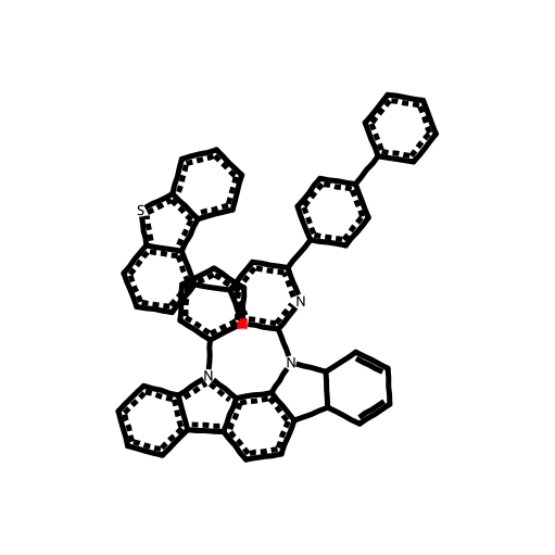 C1=CC2c3ccc4c5ccccc5n(-c5ccccc5)c4c3N(c3nc(-c4ccc(-c5ccccc5)cc4)cc(-c4cccc5sc6ccccc6c45)n3)C2C=C1